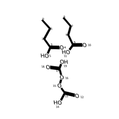 CCCC(=O)O.CCCC(=O)O.O=C(O)OOC(=O)O